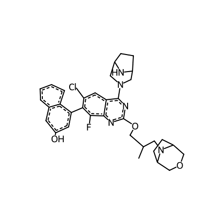 CC(COc1nc(N2CC3CCC(C2)N3)c2cc(Cl)c(-c3cc(O)cc4ccccc34)c(F)c2n1)CN1C2CCC1COC2